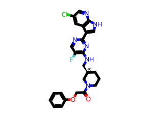 O=C(COc1ccccc1)N1CCC[C@H](CNc2nc(-c3c[nH]c4ncc(Cl)cc34)ncc2F)C1